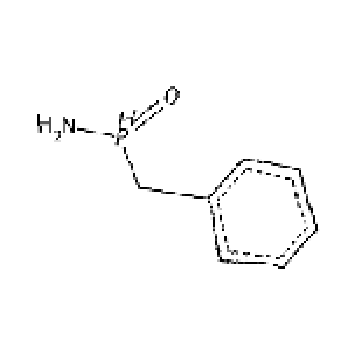 N[PH](=O)Cc1ccccc1